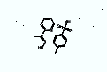 CC(=NO)c1ccccn1.Cc1ccc(S(=O)(=O)O)cc1